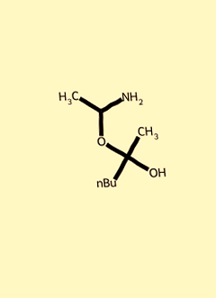 CCCCC(C)(O)OC(C)N